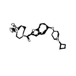 O=C(c1cc2cc(OC3CCN(C4CCC4)CC3)ccc2o1)N1CCS(=O)(=O)CC1